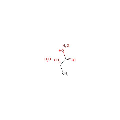 CCC(=O)O.O.O.O